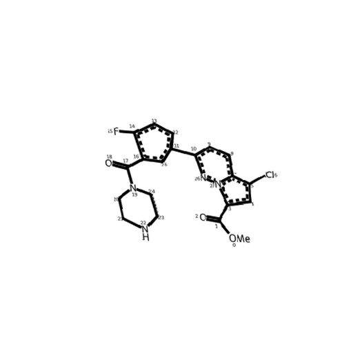 COC(=O)c1cc(Cl)c2ccc(-c3ccc(F)c(C(=O)N4CCNCC4)c3)nn12